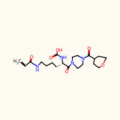 C=CC(=O)NCCCC[C@H](NC(=O)O)C(=O)N1CCN(C(=O)C2CCOCC2)CC1